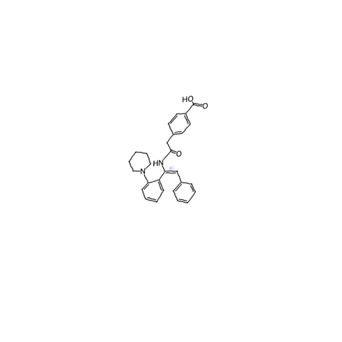 O=C(Cc1ccc(C(=O)O)cc1)N/C(=C/c1ccccc1)c1ccccc1N1CCCCC1